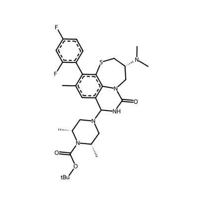 Cc1cc2c3c(c1-c1ccc(F)cc1F)SC[C@H](N(C)C)CN3C(=O)NC2N1C[C@@H](C)N(C(=O)OC(C)(C)C)[C@@H](C)C1